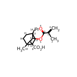 C=C(C)C(=O)OC1C(C(=O)O)C2(C)CCC1(C(C)C)CC2